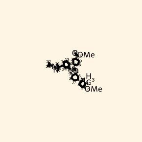 COc1ccc([C@H]2CC[C@H](CN(c3cccc(-c4cnn(C5CC5)c4)c3)C(=O)[C@H]3CC[C@H](C(=O)OC)CC3)CC2)nc1C